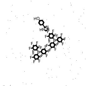 Fc1c(F)c(F)c(B(c2c(F)c(F)c(F)c(F)c2F)c2c(F)c(F)c(F)c(F)c2F)c(F)c1F.Fc1c(F)c(F)c(B(c2c(F)c(F)c(F)c(F)c2F)c2c(F)c(F)c(F)c(F)c2F)c(F)c1F.Oc1ccc(-c2nnc[nH]2)cc1